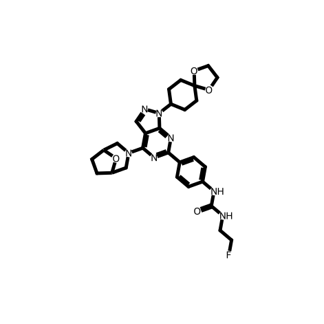 O=C(NCCF)Nc1ccc(-c2nc(N3CC4CCC(C3)O4)c3cnn(C4CCC5(CC4)OCCO5)c3n2)cc1